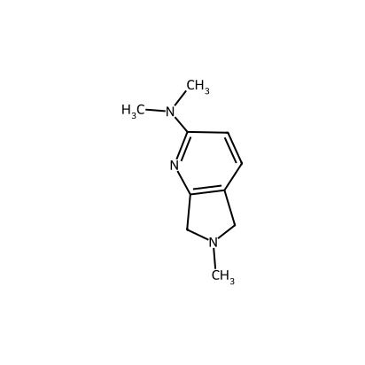 CN1Cc2ccc(N(C)C)nc2C1